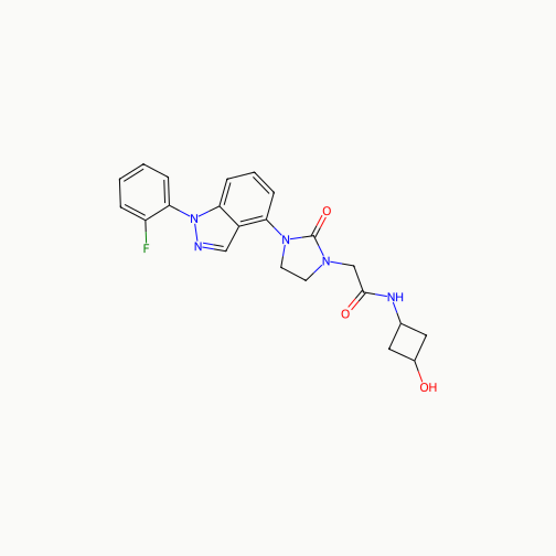 O=C(CN1CCN(c2cccc3c2cnn3-c2ccccc2F)C1=O)NC1CC(O)C1